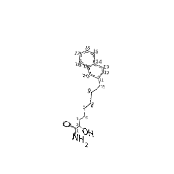 NC(=O)C(O)CCCCCCc1ccc2ccccc2c1